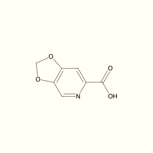 O=C(O)c1cc2c(cn1)OCO2